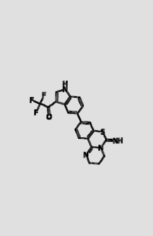 N=C1Sc2cc(-c3ccc4[nH]cc(C(=O)C(F)(F)F)c4c3)ccc2C2=NCCCN12